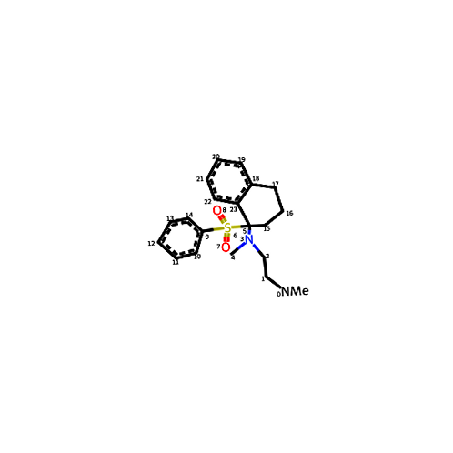 CNCCN(C)C1(S(=O)(=O)c2ccccc2)CCCc2ccccc21